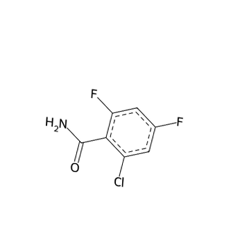 NC(=O)c1c(F)cc(F)cc1Cl